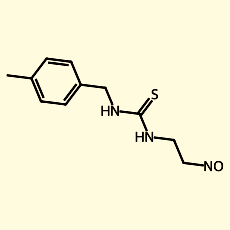 Cc1ccc(CNC(=S)NCCN=O)cc1